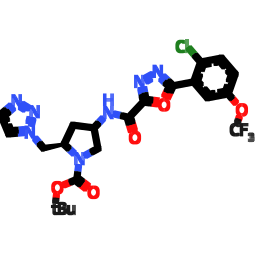 CC(C)(C)OC(=O)N1CC(NC(=O)c2nnc(-c3cc(OC(F)(F)F)ccc3Cl)o2)C[C@@H]1Cn1ccnn1